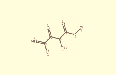 CCOC(=O)C(O)C(=O)C(=N)Cl